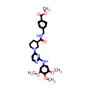 COC(=O)c1ccc(CNC(=O)C2CCCN(c3ccnc(Nc4cc(OC)c(OC)c(OC)c4)n3)C2)cc1